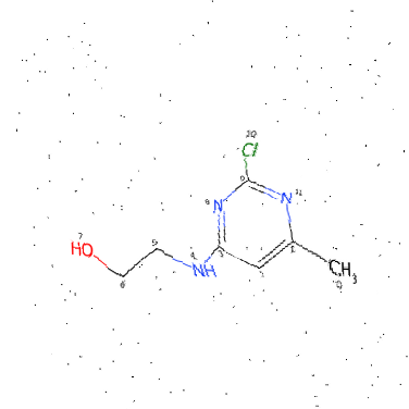 Cc1cc(NCCO)nc(Cl)n1